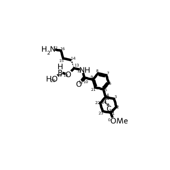 COC12CCC(c3cccc(C(=O)N[C@@H](CCCN)OBO)c3)(CC1)CC2